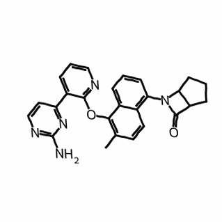 Cc1ccc2c(N3C(=O)C4CCCC43)cccc2c1Oc1ncccc1-c1ccnc(N)n1